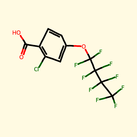 O=C(O)c1ccc(OC(F)(F)C(F)(F)C(F)(F)C(F)(F)F)cc1Cl